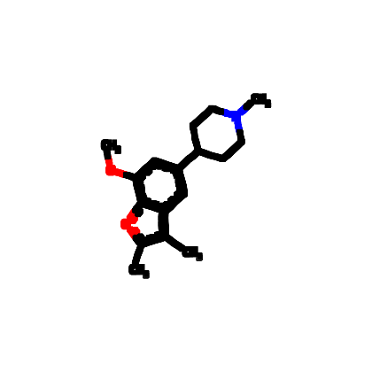 COc1cc(C2CCN(C)CC2)cc2c(C)c(C)oc12